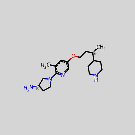 Cc1cc(OCC[C@@H](C)C2CCNCC2)cnc1N1CC[C@@H](N)C1